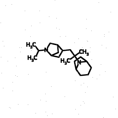 CC(C)N1CC2CC1CC2CC(C)(C)N1C2CCCC1CC2